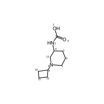 O=C(O)NC1CCCN(C2CCC2)C1